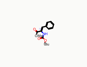 COC(=O)/C(=C/c1ccccc1)NC(=O)OC(C)(C)C